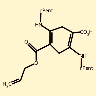 C=CCOC(=O)C1=C(NCCCCC)CC(C(=O)O)=C(NCCCCC)C1